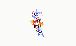 Nc1nc2c(ncn2[C@@H]2O[C@@H]3COP(=O)(S)O[C@@H]4C(F)[C@H](n5ccc6c(N)ccnc65)O[C@@H]4COP(=O)(S)OC2[C@H]3O)c(=O)[nH]1